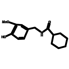 COc1cc(CNC(=O)C2CCCCC2)ccc1O